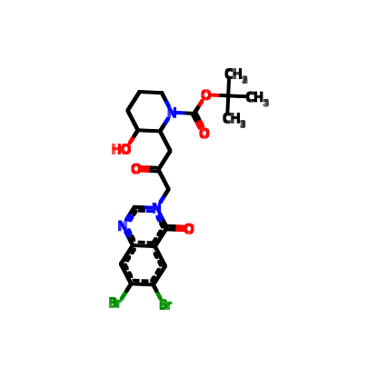 CC(C)(C)OC(=O)N1CCCC(O)C1CC(=O)Cn1cnc2cc(Br)c(Br)cc2c1=O